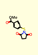 COC(=O)c1ccc(SN2C(=O)CCC2=O)cc1